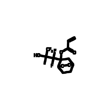 C=CC(=O)OC1(C(F)(F)C(C)(O)C(F)(F)F)CC2CCC1CC2